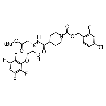 CC(C)(C)OC(=O)C[C@H](NC(=O)C1CCN(C(=O)OCc2ccc(Cl)cc2Cl)CC1)C(O)COc1c(F)c(F)cc(F)c1F